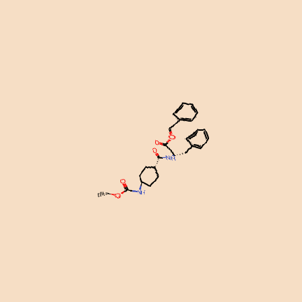 CC(C)(C)OC(=O)N[C@H]1CC[C@H](C(=O)N[C@@H](Cc2ccccc2)C(=O)OCc2ccccc2)CC1